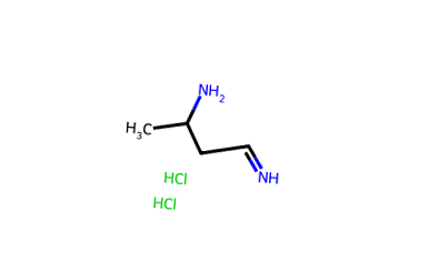 CC(N)CC=N.Cl.Cl